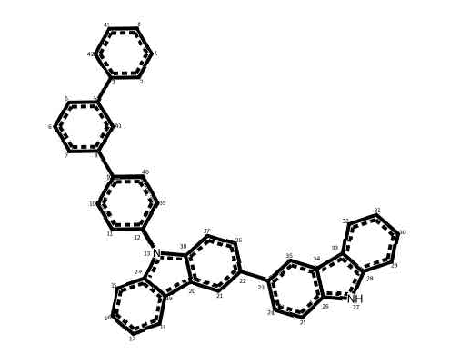 c1ccc(-c2cccc(-c3ccc(-n4c5ccccc5c5cc(-c6ccc7[nH]c8ccccc8c7c6)ccc54)cc3)c2)cc1